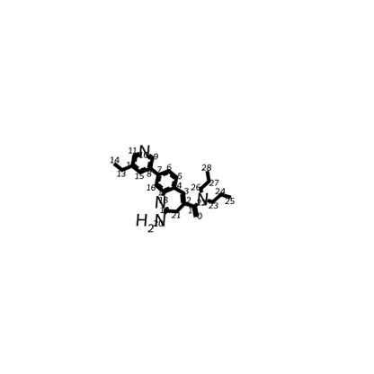 C=C(C1=Cc2ccc(-c3cncc(CC)c3)cc2N=C(N)C1)N(CCC)CCC